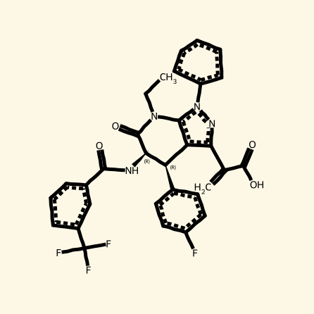 C=C(C(=O)O)c1nn(-c2ccccc2)c2c1[C@@H](c1ccc(F)cc1)[C@@H](NC(=O)c1cccc(C(F)(F)F)c1)C(=O)N2CC